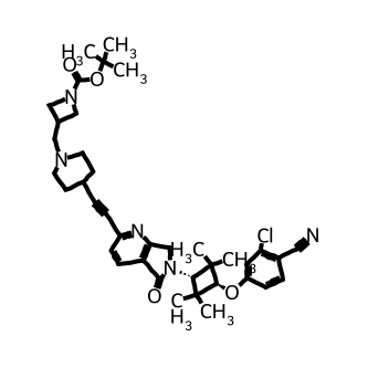 CC(C)(C)OC(=O)N1CC(CN2CCC(C#Cc3ccc4c(n3)CN([C@H]3C(C)(C)[C@H](Oc5ccc(C#N)c(Cl)c5)C3(C)C)C4=O)CC2)C1